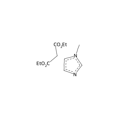 CCOC(=O)CC(=O)OCC.Cn1ccnc1